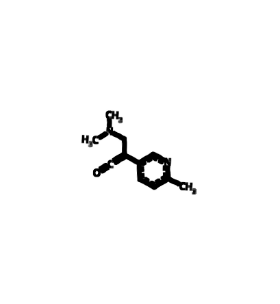 Cc1ccc(C(=C=O)CN(C)C)cn1